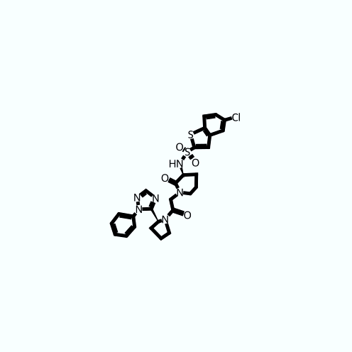 O=C1[C@@H](NS(=O)(=O)c2cc3cc(Cl)ccc3s2)CCCN1CC(=O)N1CCC[C@H]1c1ncnn1-c1ccccc1